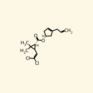 C=CCC1=CC[C@@H](OC(=O)[C@@H]2C(C=C(Cl)Cl)C2(C)C)C1